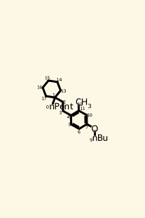 CCCCCC1(CCc2ccc(OCCCC)cc2C)CCCCC1